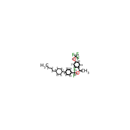 CCCCC1CCC(c2ccc(C(F)(F)OC(C)c3ccc(OC(F)(F)F)cc3)cc2)CC1